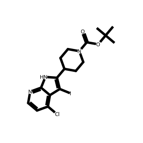 CC(C)(C)OC(=O)N1CCC(c2[nH]c3nccc(Cl)c3c2I)CC1